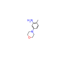 Cc1ccc(N2CCOCC2)cc1N